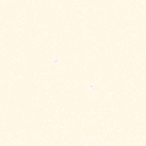 c1ccc(-c2cccc(-c3c4ccc(N5c6ccccc6Cc6ccccc65)cc4c(-c4cccc(-c5ccccc5)c4)c4ccc(N5c6ccccc6Cc6ccccc65)cc34)c2)cc1